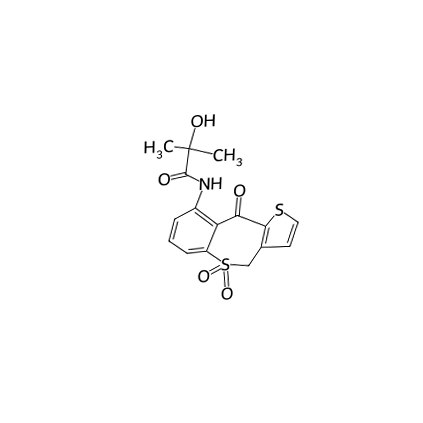 CC(C)(O)C(=O)Nc1cccc2c1C(=O)c1sccc1CS2(=O)=O